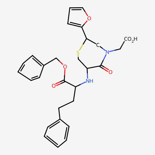 O=C(O)CN1CC(c2ccco2)SCC(NC(CCc2ccccc2)C(=O)OCc2ccccc2)C1=O